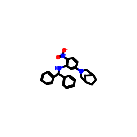 O=[N+]([O-])c1ccc(N2CC3CCC(C3)C2)cc1NC(c1ccccc1)c1ccccc1